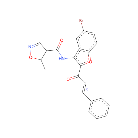 CC1ON=CC1C(=O)Nc1c(C(=O)/C=C/c2ccccc2)oc2ccc(Br)cc12